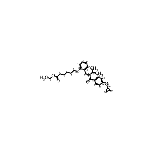 CCOC(=O)CCCCCOc1ccccc1CN(C(=O)c1ccc(OC2CC2)cc1)C(C)C